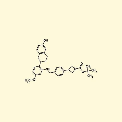 COc1ccc(C2CCc3cc(O)ccc3C2)c(NCc2ccc(C3CN(C(=O)OC(C)(C)C)C3)cc2)c1